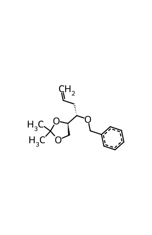 C=CC[C@H](OCc1ccccc1)[C@H]1COC(C)(C)O1